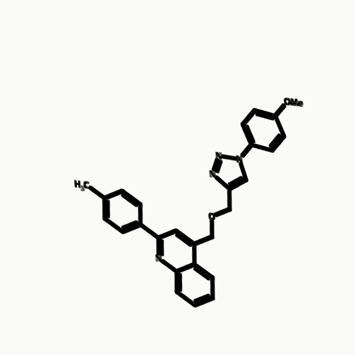 COc1ccc(-n2cc(COCc3cc(-c4ccc(C)cc4)nc4ccccc34)nn2)cc1